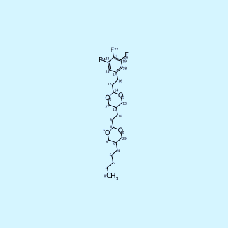 CCCCCC1COC(CCC2COC(CCc3cc(F)c(F)c(F)c3)OC2)OC1